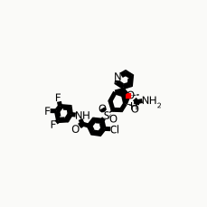 C[C@H]1CC2C[C@@H](S(=O)(=O)c3cc(C(=O)Nc4cc(F)c(F)c(F)c4)ccc3Cl)C[C@H]1[C@@]2(OC(N)=O)c1cccnc1